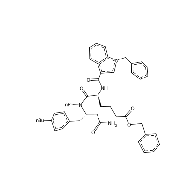 CCCCc1ccc(C[C@@H](CC(N)=O)N(CCC)C(=O)[C@H](CCCC(=O)OCc2ccccc2)NC(=O)c2cn(Cc3ccccc3)c3ccccc23)cc1